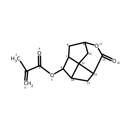 C=C(C)C(=O)OC1C2CC3CC24C(CC14)C(=O)O3